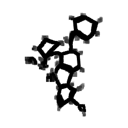 O=C(O)C1(C2c3[nH]c4ccc(Cl)cc4c3CCN2Cc2ccccc2)CCC1